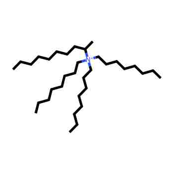 CCCCCCCCC(C)[N+](CCCCCCCC)(CCCCCCCC)CCCCCCCC